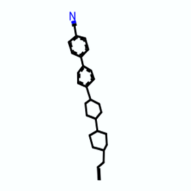 C=CCC1CCC(C2CCC(c3ccc(-c4ccc(C#N)cc4)cc3)CC2)CC1